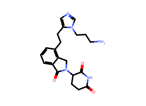 NCCCn1cncc1CCc1cccc2c1CN(C1CCC(=O)NC1=O)C2=O